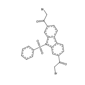 O=C(CBr)c1ccc2c3ccc(C(=O)CBr)cc3n(S(=O)(=O)c3ccccc3)c2c1